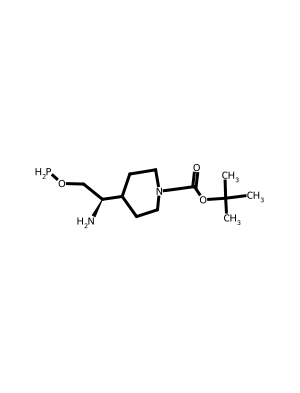 CC(C)(C)OC(=O)N1CCC([C@@H](N)COP)CC1